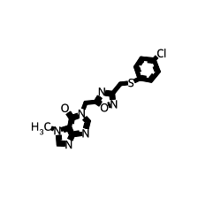 Cn1cnc2ncn(Cc3nc(CSc4ccc(Cl)cc4)no3)c(=O)c21